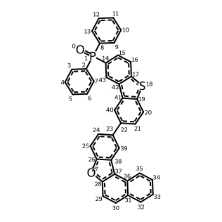 O=P(c1ccccc1)(c1ccccc1)c1ccc2sc3ccc(-c4ccc5oc6ccc7ccccc7c6c5c4)cc3c2c1